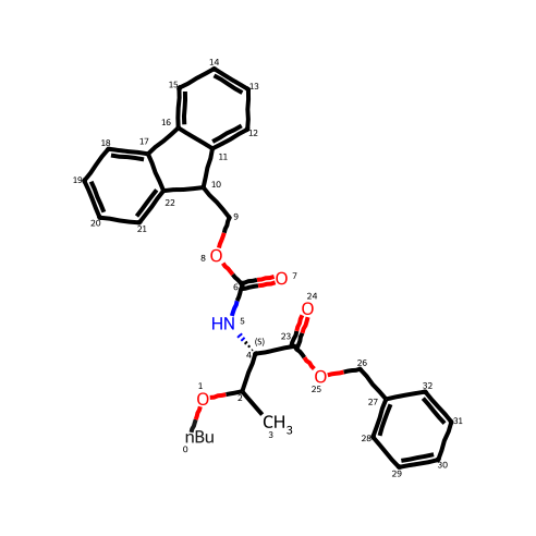 CCCCOC(C)[C@H](NC(=O)OCC1c2ccccc2-c2ccccc21)C(=O)OCc1ccccc1